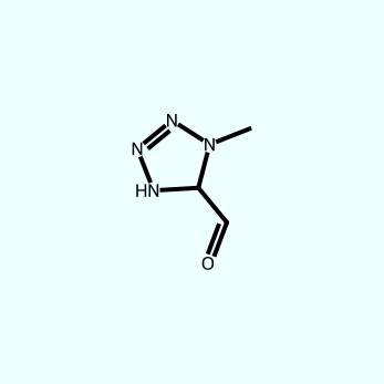 CN1N=NNC1C=O